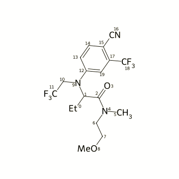 CCC(C(=O)N(C)CCOC)N(CC(F)(F)F)c1ccc(C#N)c(C(F)(F)F)c1